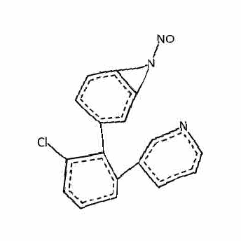 O=NN1c2ccc(-c3c(Cl)cccc3-c3cccnc3)cc21